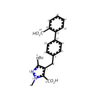 CCCCc1nn(C)c(C(=O)O)c1Cc1ccc(-c2ccccc2C(=O)O)cc1